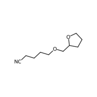 N#CCCCCOCC1CCCO1